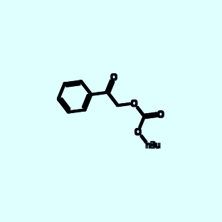 CCCCOC(=O)OCC(=O)c1ccccc1